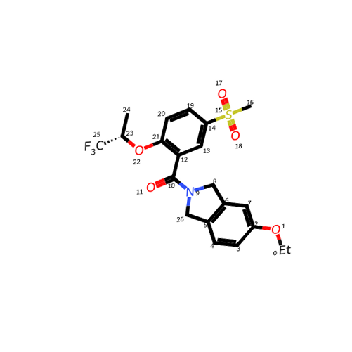 CCOc1ccc2c(c1)CN(C(=O)c1cc(S(C)(=O)=O)ccc1O[C@@H](C)C(F)(F)F)C2